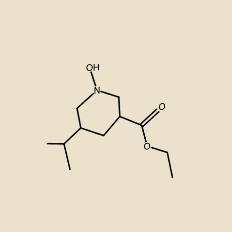 CCOC(=O)C1CC(C(C)C)CN(O)C1